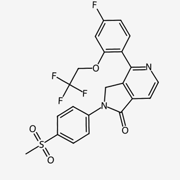 CS(=O)(=O)c1ccc(N2Cc3c(ccnc3-c3ccc(F)cc3OCC(F)(F)F)C2=O)cc1